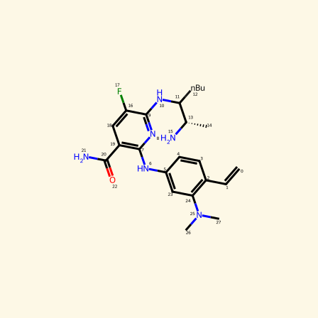 C=Cc1ccc(Nc2nc(NC(CCCC)[C@H](C)N)c(F)cc2C(N)=O)cc1N(C)C